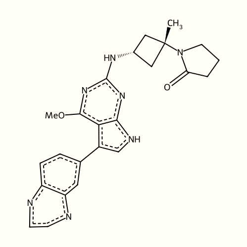 COc1nc(N[C@H]2C[C@@](C)(N3CCCC3=O)C2)nc2[nH]cc(-c3ccc4nccnc4c3)c12